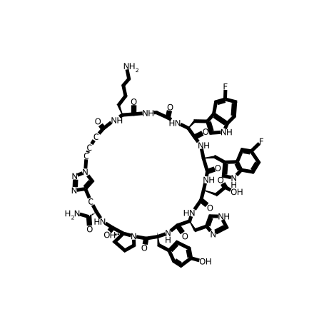 NCCCC[C@@H]1NC(=O)CCCn2cc(nn2)C[C@@H](C(N)=O)NC(=O)[C@@H]2CCCN2C(=O)[C@H](Cc2ccc(O)cc2)NC(=O)[C@H](Cc2c[nH]cn2)NC(=O)[C@H](CC(=O)O)NC(=O)[C@H](Cc2c[nH]c3ccc(F)cc23)NC(=O)[C@H](Cc2c[nH]c3ccc(F)cc23)NC(=O)CNC1=O